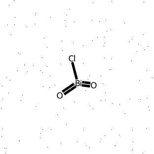 [O]=[Bi](=[O])[Cl]